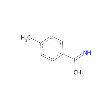 CC(=N)c1ccc(C)cc1